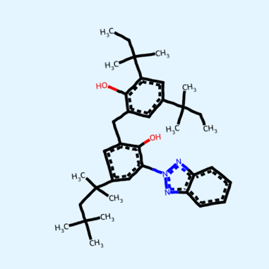 CCC(C)(C)c1cc(Cc2cc(C(C)(C)CC(C)(C)C)cc(-n3nc4ccccc4n3)c2O)c(O)c(C(C)(C)CC)c1